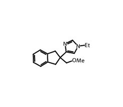 CCn1cnc(C2(COC)Cc3ccccc3C2)c1